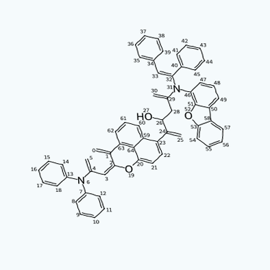 C=C1/C(=C\C(=C)N(c2ccccc2)c2ccccc2)Oc2ccc(C(=C)C(O)CC(=C)N(/C(=C/c3ccccc3)c3ccccc3)c3cccc4c3oc3ccccc34)c3cccc1c23